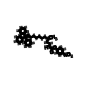 CN(CCCCCCSC(c1ccccc1)(c1ccccc1)c1ccccc1)CCNC(=O)Oc1ccc([N+](=O)[O-])cc1